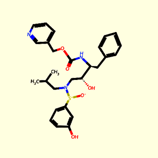 CC(C)CN(C[C@@H](O)[C@H](Cc1ccccc1)NC(=O)OCc1cccnc1)[S+]([O-])c1cccc(O)c1